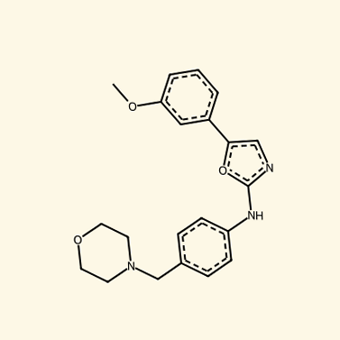 COc1cccc(-c2cnc(Nc3ccc(CN4CCOCC4)cc3)o2)c1